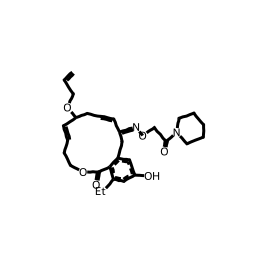 C=CCOC1/C=C/CCOC(=O)c2c(CC)cc(O)cc2CC(=N\OCC(=O)N2CCCCC2)/C=C/C1